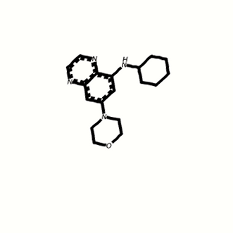 c1cnc2c(NC3CCCCC3)cc(N3CCOCC3)cc2n1